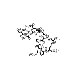 CC(C)[C@H](NC(=O)[C@@H](N)CO)C(=O)NCC(=O)N[C@@H](CCC(N)=O)C(=O)N[C@@H](CC(=O)O)C(=O)N[C@@H](CO)C(=O)N1CCC[C@H]1C(=O)N[C@@H](CCC(=O)O)C(=O)N1CCC[C@H]1C(=O)N[C@@H](CCCNC(=N)N)C(=O)O